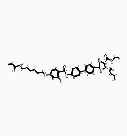 C=CC(=O)OCCCCCCOc1ccc(C(=O)Oc2ccc(-c3ccc(C4O[C@@H](C(=O)OCC)[C@H](C(=O)OCC)O4)cc3)cc2)c(F)c1